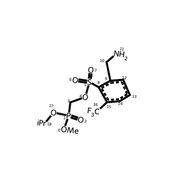 COP(=O)(COS(=O)(=O)c1c(CN)cccc1C(F)(F)F)OC(C)C